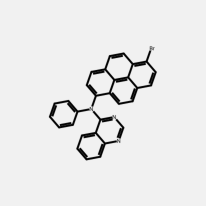 Brc1ccc2ccc3c(N(c4ccccc4)c4ncnc5ccccc45)ccc4ccc1c2c43